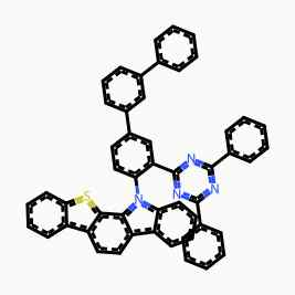 c1ccc(-c2cccc(-c3ccc(-n4c5ccccc5c5ccc6c7ccccc7sc6c54)c(-c4nc(-c5ccccc5)nc(-c5ccccc5)n4)c3)c2)cc1